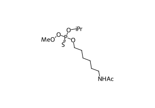 COOP(=S)(OCCCCCCNC(C)=O)OC(C)C